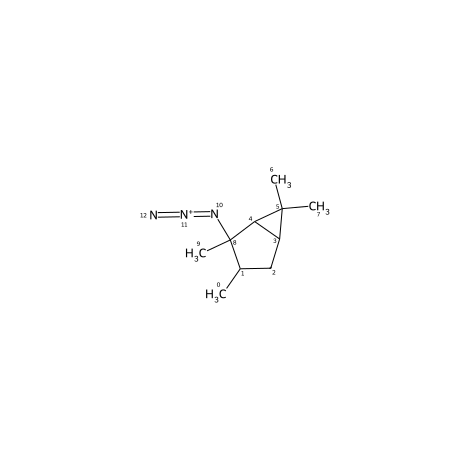 CC1CC2C(C2(C)C)C1(C)N=[N+]=[N-]